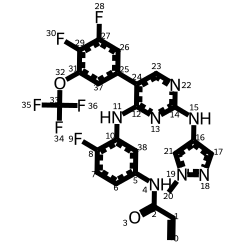 C=CC(=O)Nc1ccc(F)c(Nc2nc(Nc3cnn(C)c3)ncc2-c2cc(F)c(F)c(OC(F)(F)F)c2)c1